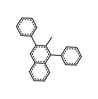 Cc1c(-c2ccccc2)cc2ccccc2c1-c1ccccc1